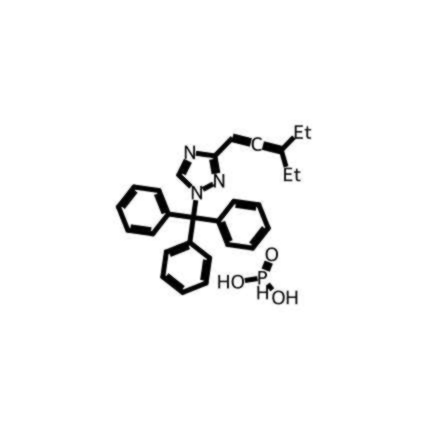 CCC(=C=Cc1ncn(C(c2ccccc2)(c2ccccc2)c2ccccc2)n1)CC.O=[PH](O)O